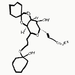 CCOC(=O)/C=C/[C@@H]1OC(CCOC2(O)CCCCC2)[C@H]2OC3(CCCCC3)O[C@H]2[C@H]1O